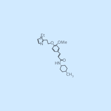 CCn1ccnc1CCOc1ccc(C=CC(=O)N[C@H]2CC[C@H](C)CC2)cc1OC